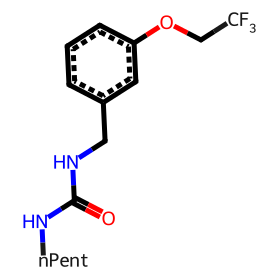 CCCCCNC(=O)NCc1cccc(OCC(F)(F)F)c1